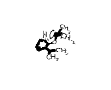 C=C(C)c1ccccc1OC(C)(C)C